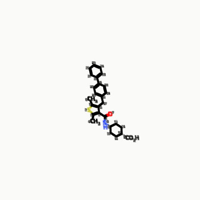 Cc1sc(C)c(C(=O)N[C@H]2CC[C@@H](C(=O)O)CC2)c1Cc1ccc(-c2ccccc2)cc1